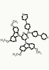 COc1ccc2c(c1)c1cc(OC)ccc1n2-c1cc(-n2c3ccc(OC)cc3c3cc(OC)ccc32)nc(N(c2ccc(-c3ccncc3)cc2)c2ccc(-c3ccncc3)cc2)n1